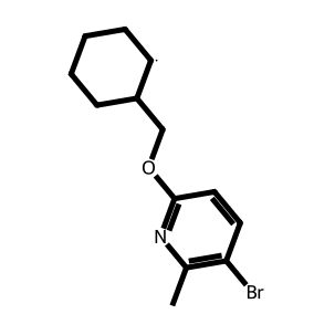 Cc1nc(OCC2[CH]CCCC2)ccc1Br